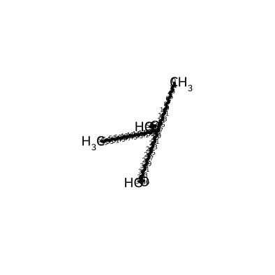 CCCCCCCCCCCCCCCCCCC(CCCCCCCCCCCCCCCCC(=O)O)=C(CCCCCCCCCCCCCCCCCC)C(=O)O